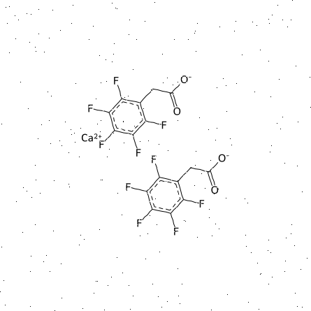 O=C([O-])Cc1c(F)c(F)c(F)c(F)c1F.O=C([O-])Cc1c(F)c(F)c(F)c(F)c1F.[Ca+2]